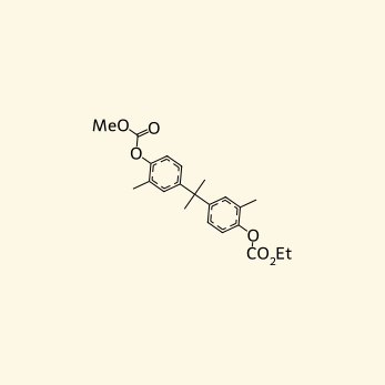 CCOC(=O)Oc1ccc(C(C)(C)c2ccc(OC(=O)OC)c(C)c2)cc1C